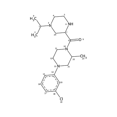 CC(C)N1CCNC(C(=O)N2CCN(c3cccc(Cl)c3)CC2C)C1